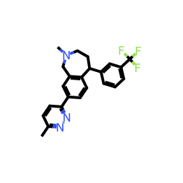 Cc1ccc(-c2ccc3c(c2)CN(C)CCC3c2cccc(C(F)(F)F)c2)nn1